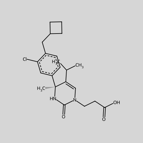 CC(C)C1=CN(CCC(=O)O)C(=O)N[C@@]1(C)c1ccc(CC2CCC2)c(Cl)c1